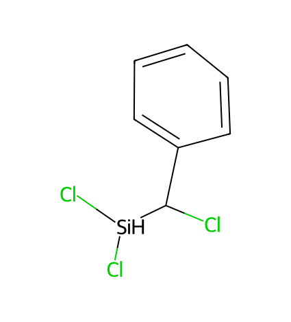 ClC(c1ccccc1)[SiH](Cl)Cl